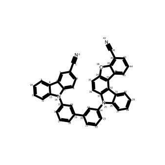 N#Cc1ccc2c(c1)c1ccccc1n2-c1cccc(-c2cccc(-n3c4ccccc4c4c5c(ccc43)oc3c(C#N)cccc35)c2)c1